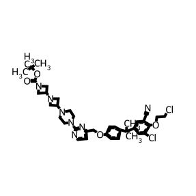 CC(C)(C)OC(=O)N1CC(N2CC(N3CCN(c4nccc(COc5ccc(C(C)(C)c6cc(Cl)c(OCCCl)c(C#N)c6)cc5)n4)CC3)C2)C1